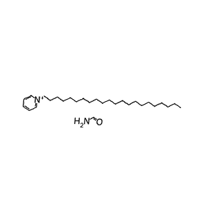 CCCCCCCCCCCCCCCCCCCCCC[n+]1ccccc1.NC=O